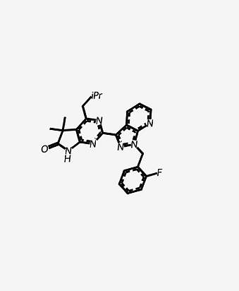 CC(C)Cc1nc(-c2nn(Cc3ccccc3F)c3ncccc23)nc2c1C(C)(C)C(=O)N2